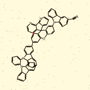 N#Cc1ccc2c(c1)c1ccccc1n2-c1ccc2c(c1)C1(c3ccc(-c4ccc5c(c4)c4ccccc4n5-c4ccccc4-n4c5ccccc5c5ccccc54)cc3O2)c2cccnc2-c2ncccc21